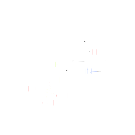 CC(CO)NC(CC(F)(F)F)CC(F)(F)F.O=P(O)(O)O